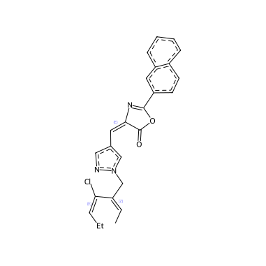 C/C=C(Cn1cc(/C=C2/N=C(c3ccc4ccccc4c3)OC2=O)cn1)\C(Cl)=C/CC